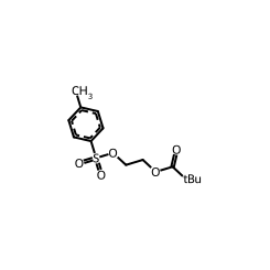 Cc1ccc(S(=O)(=O)OCCOC(=O)C(C)(C)C)cc1